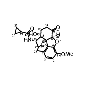 COc1ccc2c3c1O[C@@H]1C(=O)CC[C@]4(O)[C@@H](NC(=O)C5CC5)C(C2)CC314